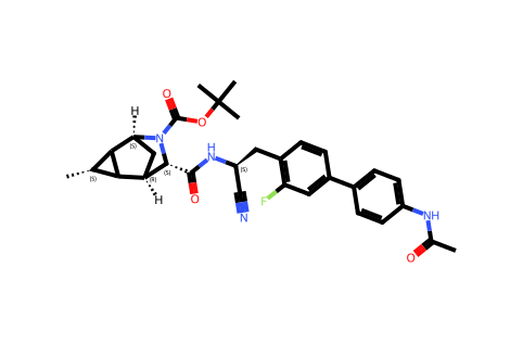 CC(=O)Nc1ccc(-c2ccc(C[C@@H](C#N)NC(=O)[C@@H]3[C@@H]4C[C@@H](C5C4[C@@H]5C)N3C(=O)OC(C)(C)C)c(F)c2)cc1